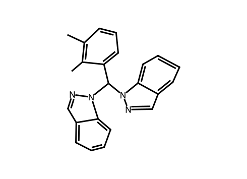 Cc1cccc(C(n2ncc3ccccc32)n2ncc3ccccc32)c1C